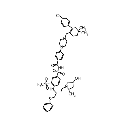 CC1CC(O)CN1CC[C@H](CSc1ccccc1)Nc1ccc(S(=O)(=O)NC(=O)c2ccc(N3CCN(CC4=C(c5ccc(Cl)cc5)CC(C)(C)CC4)CC3)cc2)cc1S(=O)(=O)C(F)(F)F